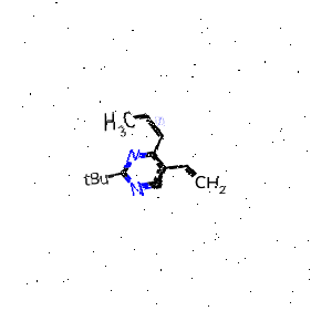 C=Cc1cnc(C(C)(C)C)nc1/C=C\C